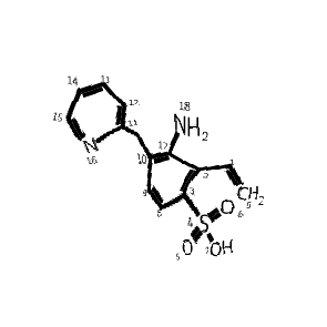 C=Cc1c(S(=O)(=O)O)ccc(-c2ccccn2)c1N